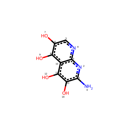 Nc1nc2ncc(O)c(O)c2c(O)c1O